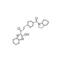 O=C(C=Cc1ccc(C(=O)N2CCc3ccccc32)cc1)c1nc2ccccc2nc1O